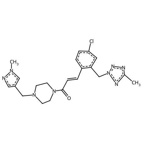 Cc1nnn(Cc2cc(Cl)ccc2C=CC(=O)N2CCN(Cc3cnn(C)c3)CC2)n1